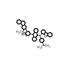 CC(C)c1ccc(N(c2c3ccccc3c(-c3ccc4c(c3)-c3cc5ccc6ccccc6c5cc3[Si]4(C)C)c3ccccc23)c2cccc3c2oc2ccccc23)cc1